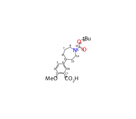 COc1ccc(C2CCCN(C(=O)OC(C)(C)C)CC2)cc1C(=O)O